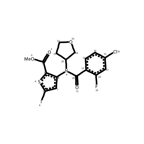 COC(=O)c1sc(I)cc1N(C(=O)c1ccc(Cl)cc1F)C1CCOC1